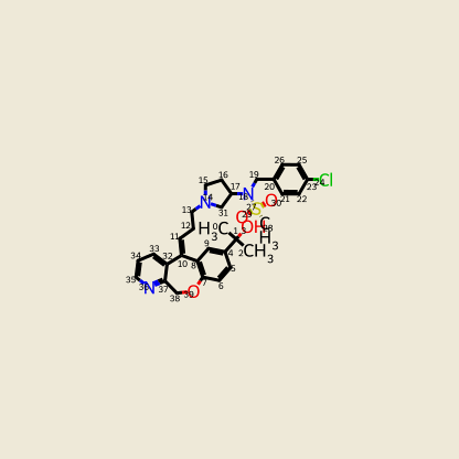 CC(C)(O)c1ccc2c(c1)C(=CCCN1CCC(N(Cc3ccc(Cl)cc3)S(C)(=O)=O)C1)c1cccnc1CO2